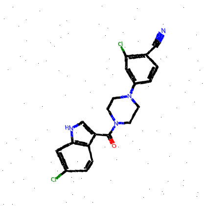 N#Cc1ccc(N2CCN(C(=O)c3c[nH]c4cc(Cl)ccc34)CC2)cc1Cl